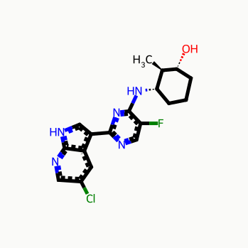 C[C@H]1[C@H](O)CCC[C@@H]1Nc1nc(-c2c[nH]c3ncc(Cl)cc23)ncc1F